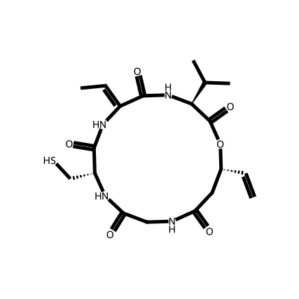 C=C[C@@H]1CC(=O)NCC(=O)N[C@H](CS)C(=O)N/C(=C\C)C(=O)N[C@@H](C(C)C)C(=O)O1